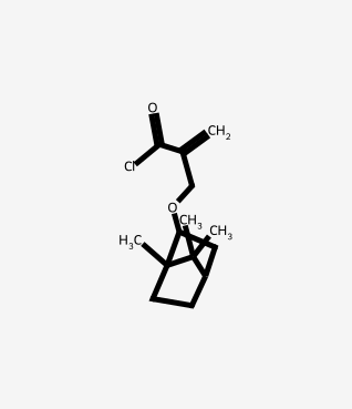 C=C(COC1CC2CCC1(C)C2(C)C)C(=O)Cl